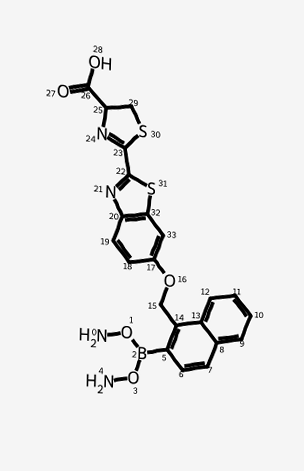 NOB(ON)c1ccc2ccccc2c1COc1ccc2nc(C3=NC(C(=O)O)CS3)sc2c1